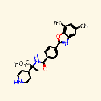 CC(C)c1cc(C#N)cc2nc(-c3ccc(C(=O)NC(C)(C(=O)O)C4CCNCC4)cc3)oc12